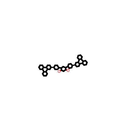 c1ccc2c(c1)c1ccccc1c1cc(-c3ccc4c(c3)oc3cc5oc6cc(-c7ccc8c9ccccc9c9ccccc9c8c7)ccc6c5cc34)ccc21